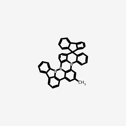 Cc1cc2c3c(c1)N1c4ccccc4C4(c5ccccc5-c5ccccc54)c4cccc(c41)B3n1c3ccccc3c3cccc-2c31